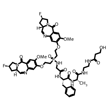 COc1cc2c(cc1OCCP(=O)(CCOc1cc3c(cc1OC)C(=O)N1C[C@H](F)C[C@@H]1C=N3)NCC(=O)N[C@@H](Cc1ccccc1)C(=O)N[C@@H](C)C(=O)NCCNC(=O)CCO)N=C[C@@H]1C[C@@H](F)CN1C2=O